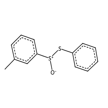 Cc1cccc([S+]([O-])Sc2ccccc2)c1